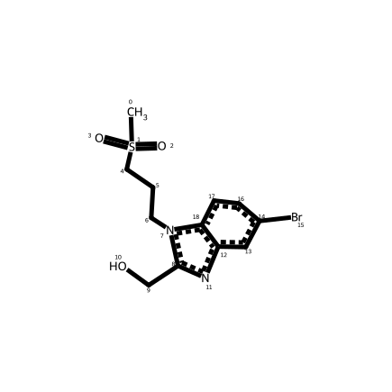 CS(=O)(=O)CCCn1c(CO)nc2cc(Br)ccc21